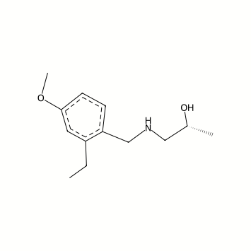 CCc1cc(OC)ccc1CNC[C@@H](C)O